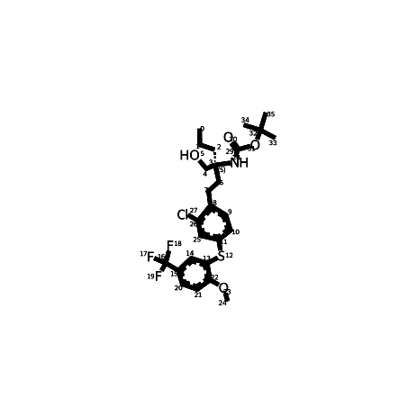 CCC[C@@](CO)(CCc1ccc(Sc2cc(C(F)(F)F)ccc2OC)cc1Cl)NC(=O)OC(C)(C)C